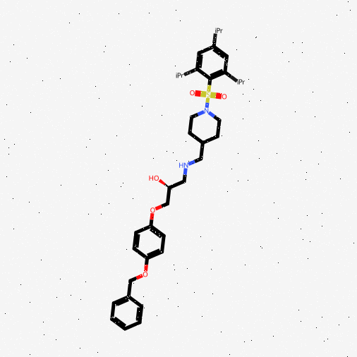 CC(C)c1cc(C(C)C)c(S(=O)(=O)N2CCC(CNC[C@H](O)COc3ccc(OCc4ccccc4)cc3)CC2)c(C(C)C)c1